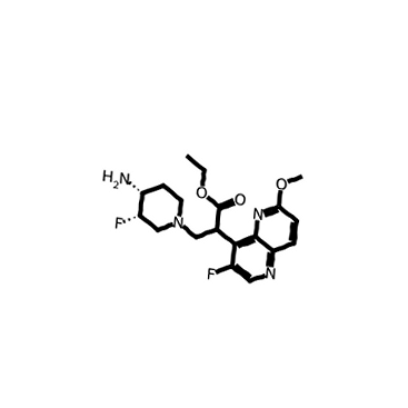 CCOC(=O)C(CN1CC[C@@H](N)[C@@H](F)C1)c1c(F)cnc2ccc(OC)nc12